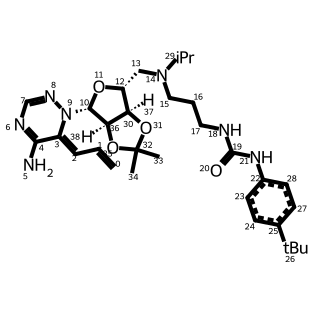 C=C/C=C1/C(N)=NC=NN1[C@@H]1O[C@H](CN(CCCNC(=O)Nc2ccc(C(C)(C)C)cc2)C(C)C)[C@H]2OC(C)(C)O[C@H]21